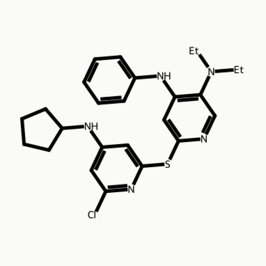 CCN(CC)c1cnc(Sc2cc(NC3CCCC3)cc(Cl)n2)cc1Nc1ccccc1